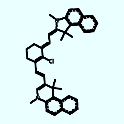 CN1C=C(/C=C/C2=C(Cl)C(=C/C=C3/N(C)c4ccc5ccccc5c4C3(C)C)/CCC2)C(C)(C)c2c1ccc1ccccc21